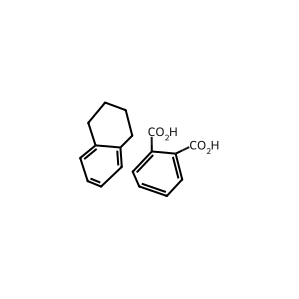 O=C(O)c1ccccc1C(=O)O.c1ccc2c(c1)CCCC2